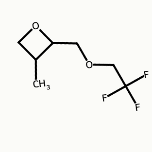 CC1COC1COCC(F)(F)F